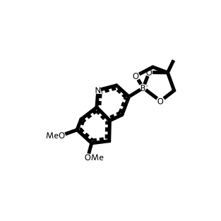 COc1cc2cc([B-]34OCC(C)(CO3)O4)cnc2cc1OC